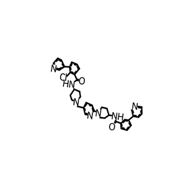 O=C(NC1CCN(c2ccc(CN3CCC(NC(=O)c4cccc(-c5cccnc5)c4Cl)CC3)cn2)CC1)c1cccc(-c2cccnc2)c1